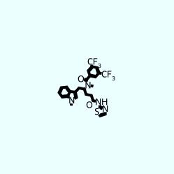 CN(C(=O)c1cc(C(F)(F)F)cc(C(F)(F)F)c1)C(CCC(=O)Nc1nccs1)Cc1cn(C)c2ccccc12